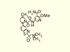 COc1ncc(NC(=O)C(=O)N2C[C@@H](C)CC[C@@H]2c2ccc3sc(C4(CN(C)C)COC4)nc3c2)cc1C(N)=O